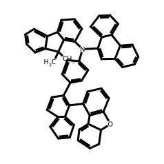 CC1(C)c2ccccc2-c2cccc(N(c3ccc(-c4ccc5ccccc5c4-c4cccc5c4C4=CC=CCC4O5)cc3)c3cc4ccccc4c4ccccc34)c21